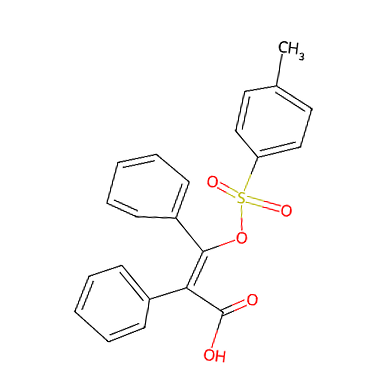 Cc1ccc(S(=O)(=O)OC(=C(C(=O)O)c2ccccc2)c2ccccc2)cc1